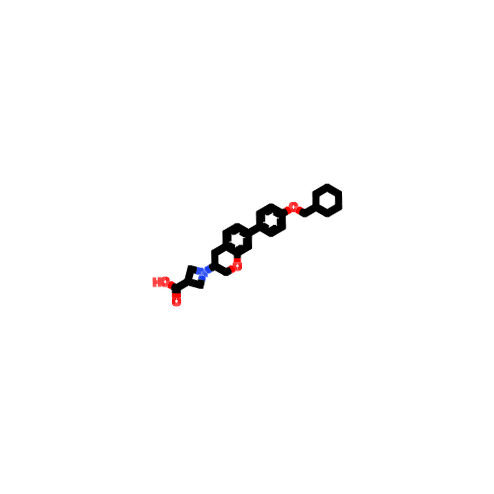 O=C(O)C1CN(C2COc3cc(-c4ccc(OCC5CCCCC5)cc4)ccc3C2)C1